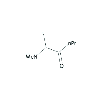 CCCC(=O)[C](C)NC